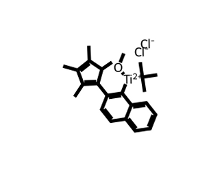 C[O][Ti+2]([c]1c(C2=C(C)C(C)=C(C)C2C)ccc2ccccc12)[C](C)(C)C.[Cl-].[Cl-]